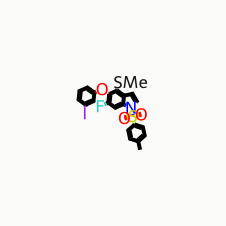 CSc1c(Oc2cccc(I)c2)c(F)cc2c1ccn2S(=O)(=O)c1ccc(C)cc1